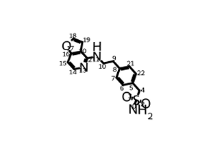 NS(=O)(=O)Cc1ccc(CCNc2nccc3occc23)cc1